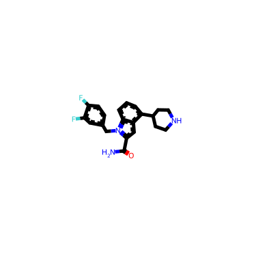 NC(=O)c1cc2c(C3CCNCC3)cccc2n1Cc1ccc(F)c(F)c1